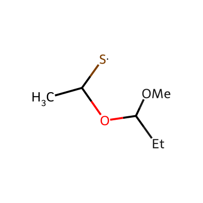 CCC(OC)OC(C)[S]